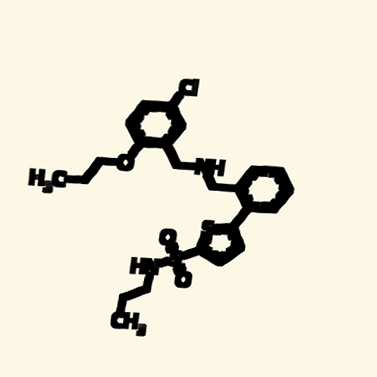 CCCNS(=O)(=O)c1ccc(-c2ccccc2CNCc2cc(Cl)ccc2OCCC)s1